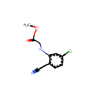 COC(=O)CNc1cc(Cl)ccc1C#N